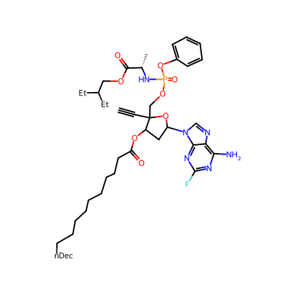 C#CC1(COP(=O)(N[C@@H](C)C(=O)OCC(CC)CC)Oc2ccccc2)OC(n2cnc3c(N)nc(F)nc32)CC1OC(=O)CCCCCCCCCCCCCCCCCCC